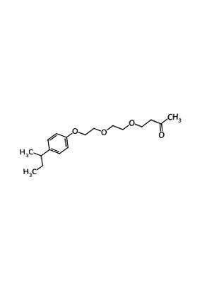 CCC(C)c1ccc(OCCOCCOCCC(C)=O)cc1